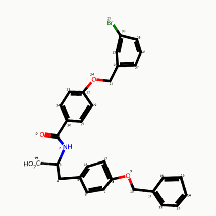 O=C(NC(Cc1ccc(OCc2ccccc2)cc1)C(=O)O)c1ccc(OCc2cccc(Br)c2)cc1